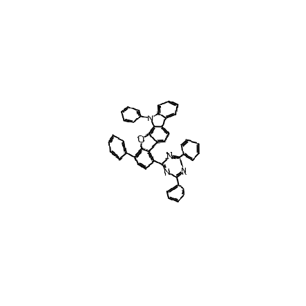 c1ccc(-c2nc(-c3ccccc3)nc(-c3ccc(-c4ccccc4)c4oc5c(ccc6c7ccccc7n(-c7ccccc7)c65)c34)n2)cc1